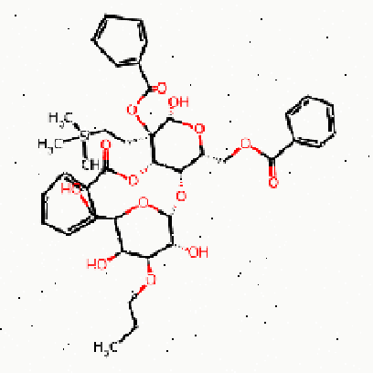 CCCO[C@H]1[C@@H](O)[C@@H](CO)O[C@H](O[C@H]2[C@@H](COC(=O)c3ccccc3)O[C@@H](O)[C@](CC[Si](C)(C)C)(OC(=O)c3ccccc3)[C@H]2OC(=O)c2ccccc2)[C@@H]1O